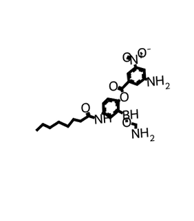 CCCCCCCC(=O)Nc1ccc(OC(=O)c2cc(N)cc([N+](=O)[O-])c2)c(BOCN)c1